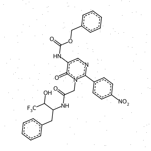 O=C(Cn1c(-c2ccc([N+](=O)[O-])cc2)ncc(NC(=O)OCc2ccccc2)c1=O)NC(Cc1ccccc1)C(O)C(F)(F)F